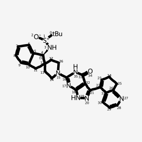 CC(C)(C)[S+]([O-])N[C@@H]1c2ccccc2CC12CCN(c1nc3[nH]nc(C4=CCCc5ncccc54)c3c(=O)[nH]1)CC2